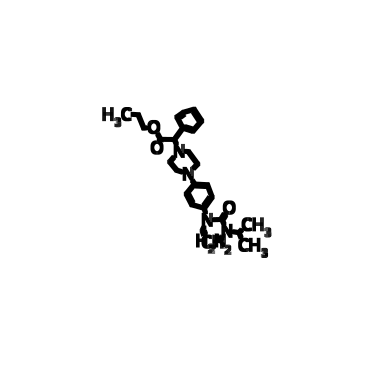 C=CN(C(=O)N(N)C(C)C)c1ccc(N2CCN(C(C(=O)OCCC)c3ccccc3)CC2)cc1